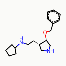 c1ccc(CO[C@H]2CNC[C@@H]2CCNC2CCCC2)cc1